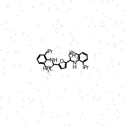 CC(C)c1cccc(C(C)C)c1NC(C)c1ccc(C(C)Nc2c(C(C)C)cccc2C(C)C)o1